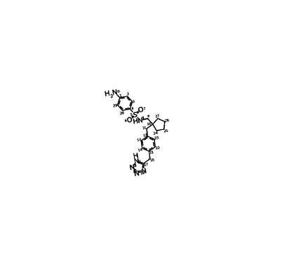 Nc1ccc(S(=O)(=O)NCC2(Cc3ccc(Cc4nnn[nH]4)cc3)CCCC2)cc1